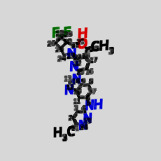 Cc1ccc(Nc2ccc3c(c2)ncn3-c2ccc(C(C)O)c(N3CC4CC(F)(F)C4C3)n2)nn1